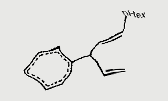 C=CC(/C=C/CCCCCC)c1ccccc1